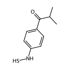 CC(C)C(=O)c1ccc(NS)cc1